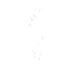 O=c1nc(CCc2ccc(Oc3ccnc(C(F)(F)F)c3)c(F)c2)cc2n1C[C@]13CO[C@H](CN21)C3